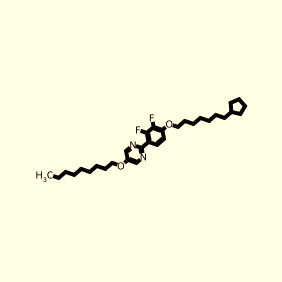 CCCCCCCCCOc1cnc(-c2ccc(OCCCCCCCC3CCCC3)c(F)c2F)nc1